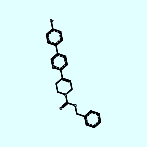 O=C(OCc1ccccc1)N1CC=C(c2ccc(-c3ccc(Br)cc3)cn2)CC1